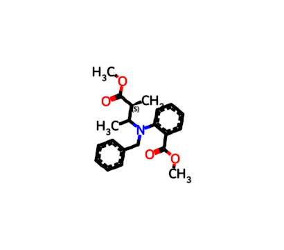 COC(=O)c1ccccc1N(Cc1ccccc1)C(C)[C@H](C)C(=O)OC